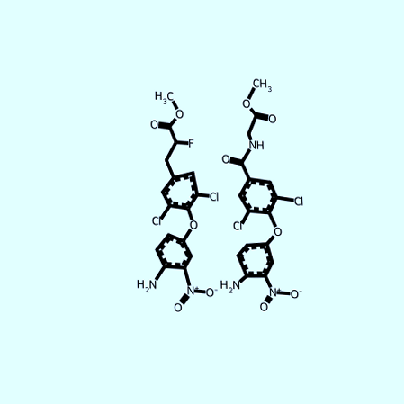 COC(=O)C(F)Cc1cc(Cl)c(Oc2ccc(N)c([N+](=O)[O-])c2)c(Cl)c1.COC(=O)CNC(=O)c1cc(Cl)c(Oc2ccc(N)c([N+](=O)[O-])c2)c(Cl)c1